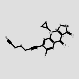 C=C1c2cc(F)c(C#CCCCC#N)cc2N(C2CC2)c2s[nH]c(=O)c21